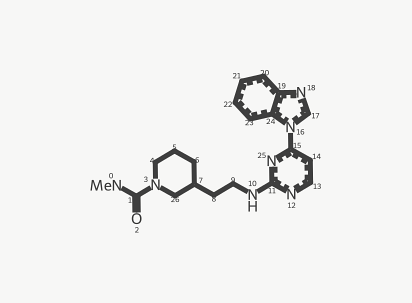 CNC(=O)N1CCCC(CCNc2nccc(-n3cnc4ccccc43)n2)C1